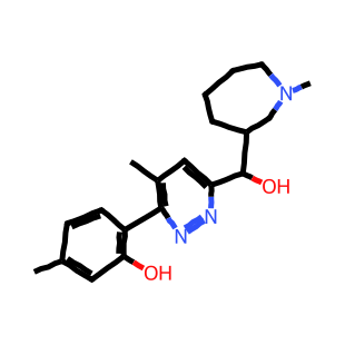 Cc1ccc(-c2nnc(C(O)C3CCCCN(C)C3)cc2C)c(O)c1